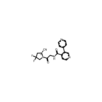 N#C[C@@H]1CC(F)(F)CN1C(=O)CNC(=O)c1ccncc1-c1ccncc1